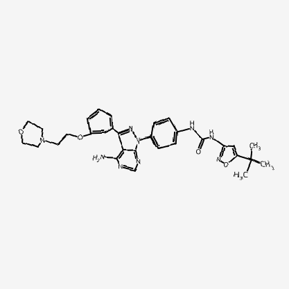 CC(C)(C)c1cc(NC(=O)Nc2ccc(-n3nc(-c4cccc(OCCN5CCOCC5)c4)c4c(N)ncnc43)cc2)no1